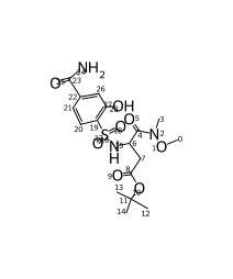 CON(C)C(=O)C(CC(=O)OC(C)(C)C)NS(=O)(=O)c1ccc(C(N)=O)cc1O